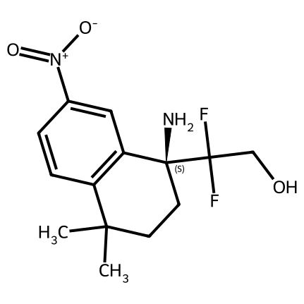 CC1(C)CC[C@@](N)(C(F)(F)CO)c2cc([N+](=O)[O-])ccc21